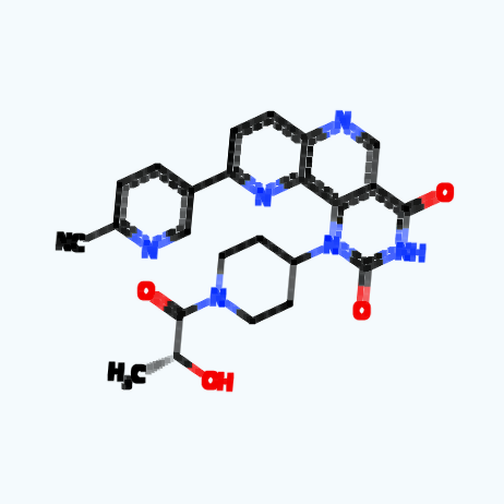 C[C@@H](O)C(=O)N1CCC(n2c(=O)[nH]c(=O)c3cnc4ccc(-c5ccc(C#N)nc5)nc4c32)CC1